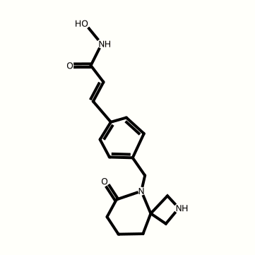 O=C(/C=C/c1ccc(CN2C(=O)CCCC23CNC3)cc1)NO